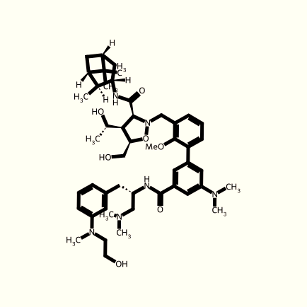 COc1c(CN2O[C@@H](CO)[C@@H]([C@H](C)O)[C@H]2C(=O)N[C@H]2C[C@H]3C[C@@H]([C@@H]2C)C3(C)C)cccc1-c1cc(C(=O)N[C@@H](Cc2cccc(N(C)CCO)c2)CN(C)C)cc(N(C)C)c1